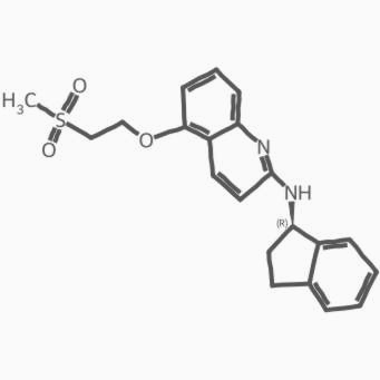 CS(=O)(=O)CCOc1cccc2nc(N[C@@H]3CCc4ccccc43)ccc12